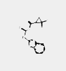 N=C(NC(=O)C1CC1(F)F)Nc1nc2ccccc2o1